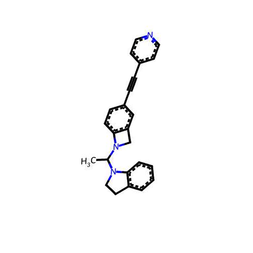 CC(N1CCc2ccccc21)N1Cc2cc(C#Cc3ccncc3)ccc21